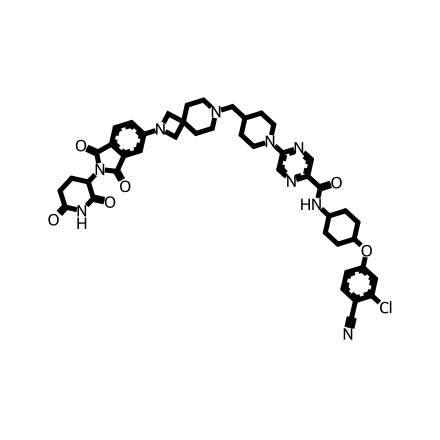 N#Cc1ccc(OC2CCC(NC(=O)c3cnc(N4CCC(CN5CCC6(CC5)CN(c5ccc7c(c5)C(=O)N(C5CCC(=O)NC5=O)C7=O)C6)CC4)cn3)CC2)cc1Cl